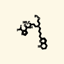 CC(C)OCCN(CCCCc1ccc2c(n1)NCCC2)CCC(NC(=O)c1ccnn1C(F)F)C(=O)O